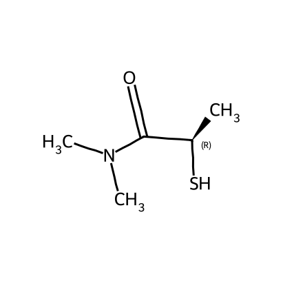 C[C@@H](S)C(=O)N(C)C